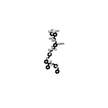 COc1cc(C(=O)NCC(=O)N2CCC(COc3cccc(C(C(=O)OCC4CCN(Cc5ccccc5)CC4)c4ccccc4)c3)CC2)ccc1CNC[C@H](O)c1ccc(O)c2[nH]c(=O)ccc12